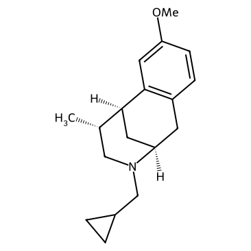 COc1ccc2c(c1)[C@H]1C[C@@H](C2)N(CC2CC2)C[C@@H]1C